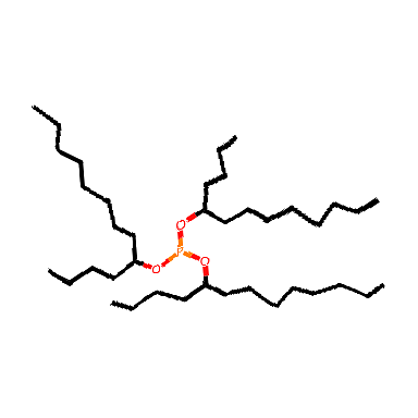 CCCCCCCCC(CCCC)OP(OC(CCCC)CCCCCCCC)OC(CCCC)CCCCCCCC